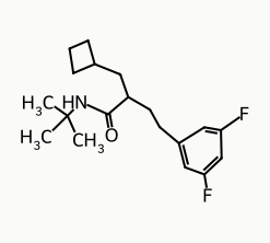 CC(C)(C)NC(=O)C(CCc1cc(F)cc(F)c1)CC1CCC1